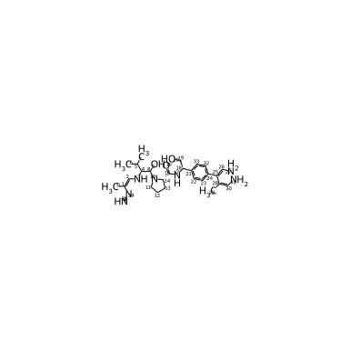 C/C(=C/N[C@@H](C(C)C)C(O)N1CCC[C@H]1C(=O)N[C@@H](CO)c1ccc(C(=C/N)/C(C)=C\N)cc1)N=N